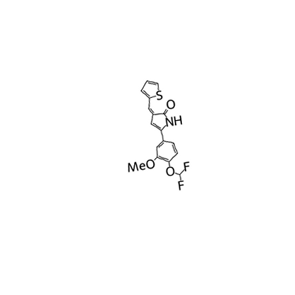 COc1cc(C2=CC(=Cc3cccs3)C(=O)N2)ccc1OC(F)F